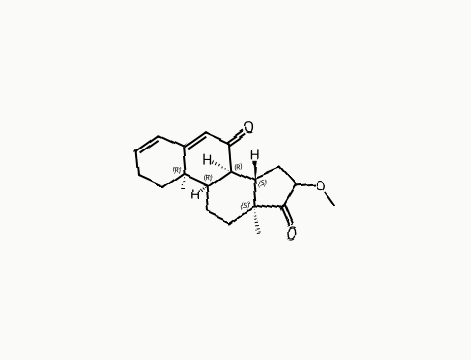 COC1C[C@H]2[C@@H]3C(=O)C=C4C=CCC[C@]4(C)[C@@H]3CC[C@]2(C)C1=O